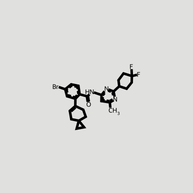 Cc1cc(NC(=O)c2ccc(Br)cc2C2=CCC3(CC2)CC3)nc(C2CCC(F)(F)CC2)n1